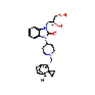 O=c1n(C[C@H](O)CO)c2ccccc2n1C1CCN(C[C@H]2[C@@H]3CC[C@@H](C3)C23CC3)CC1